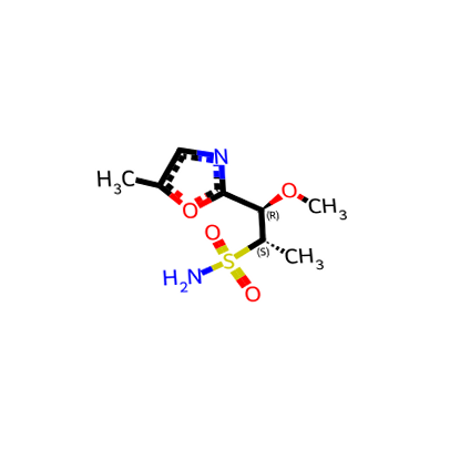 CO[C@H](c1ncc(C)o1)[C@H](C)S(N)(=O)=O